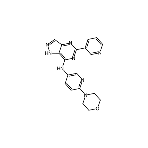 c1cncc(-c2nc(Nc3ccc(N4CCOCC4)nc3)c3[nH]ncc3n2)c1